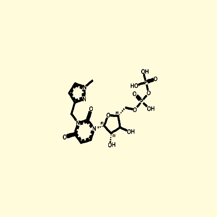 Cn1ccc(Cn2c(=O)ccn([C@@H]3O[C@H](COP(=O)(O)OP(=O)(O)O)C(O)[C@@H]3O)c2=O)n1